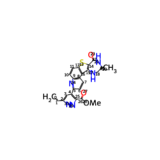 C=Cc1cc(-c2ccc3c(ccc4sc5c(c43)NC[C@@H](C)NC5=O)n2)c(C(=O)OC)nn1